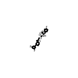 O=C(N[C@H](Cc1ccc(F)cc1)C(=O)O)OCc1cc2cc(-c3cc(F)cc(F)c3)ccc2o1